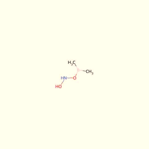 CB(C)ONO